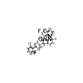 Cc1ccc2cc(C3CCC(c4c(C)cccc4F)CC3)c(=O)n(Cc3ncccc3C(F)(F)F)c2n1